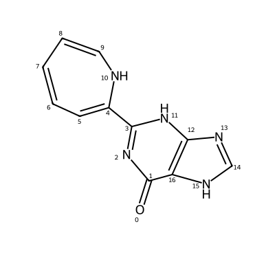 O=c1nc(C2=CC=CC=CN2)[nH]c2nc[nH]c12